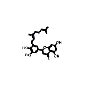 CC(C)=CCC/C(C)=C/Cc1cc(C2CC(=O)c3c(O)cc(O)cc3O2)cc(O)c1O